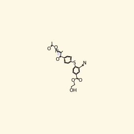 CC(=O)O/N=C(\C)C(=O)c1ccc(Sc2ccc(C(=O)OCCO)cc2C#N)cc1